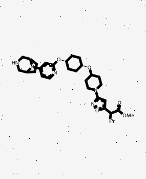 COC(=O)C(c1cc(N2CCC(O[C@H]3CC[C@@H](Oc4cc(N5C6CCC5CNC6)ccn4)CC3)CC2)no1)C(C)C